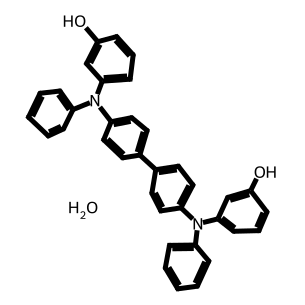 O.Oc1cccc(N(c2ccccc2)c2ccc(-c3ccc(N(c4ccccc4)c4cccc(O)c4)cc3)cc2)c1